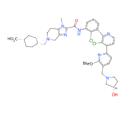 COc1nc(-c2ccnc(-c3cccc(NC(=O)c4nc5c(n4C)CCN(C[C@H]4CC[C@@H](C(=O)O)CC4)C5)c3Cl)c2Cl)ccc1CN1CC[C@H](O)C1